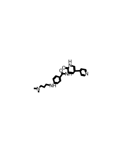 CN(C)CCCNc1ccc(C(=O)Nc2cc(-c3ccncc3)c[nH]c2=O)cc1